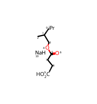 CC(C)C(C)COC(=O)CCC(=O)O.[NaH]